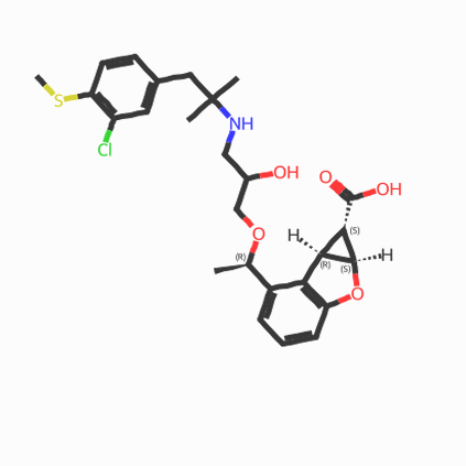 CSc1ccc(CC(C)(C)NCC(O)CO[C@H](C)c2cccc3c2[C@@H]2[C@H](O3)[C@H]2C(=O)O)cc1Cl